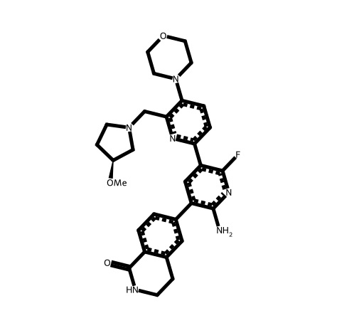 CO[C@H]1CCN(Cc2nc(-c3cc(-c4ccc5c(c4)CCNC5=O)c(N)nc3F)ccc2N2CCOCC2)C1